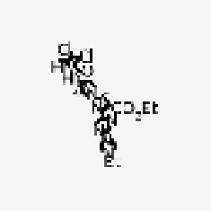 CCOC(=O)c1sc(N2CC[C@@H](NC(=O)c3[nH]c(C)c(Cl)c3Cl)[C@@H](C)C2)nc1-c1cnc(N2CCN(CC)CC2)cn1